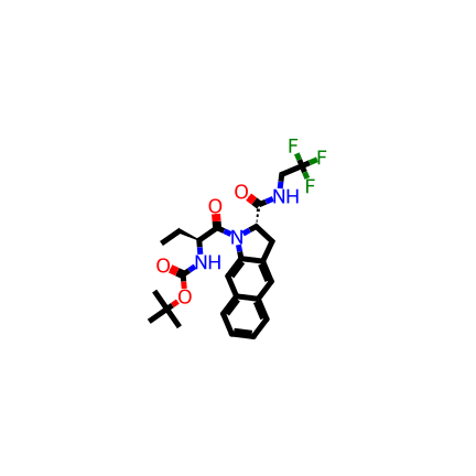 CC[C@H](NC(=O)OC(C)(C)C)C(=O)N1c2cc3ccccc3cc2C[C@H]1C(=O)NCC(F)(F)F